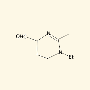 CCN1CCC(C=O)N=C1C